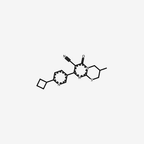 CC1CSc2nc(-c3ccc(C4CCC4)nc3)c(C#N)c(=O)n2C1